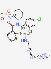 CS(=O)(=O)N[C@H]1CCCCC1N1C(=O)c2ccccc2[C@@H](C(=O)NC/C=C/C=C\C=[NH+]\[O-])[C@@H]1c1ccc(Cl)cc1Cl